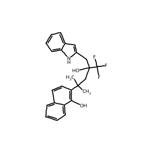 CC(C)(CC(O)(Cc1cc2ccccc2[nH]1)C(F)(F)F)c1ccc2ccccc2c1O